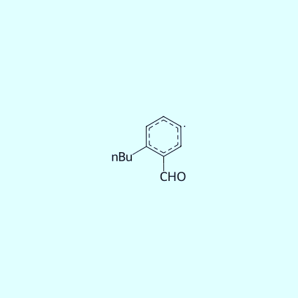 CCCCc1cc[c]cc1C=O